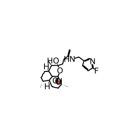 C=C(CC[C@@]1(O)O[C@@H]2O[C@]3(C)CC[C@H]4[C@H](C)CC[C@@H]([C@H]1C)[C@@]24OO3)NCc1ccc(F)nc1